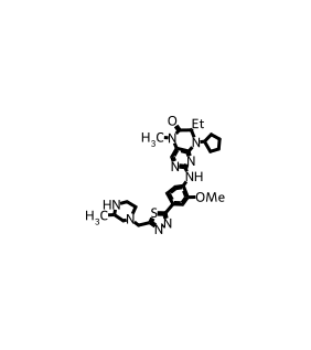 CCC1C(=O)N(C)c2cnc(Nc3ccc(-c4nnc(CN5CCNC(C)C5)s4)cc3OC)nc2N1C1CCCC1